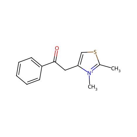 Cc1scc(CC(=O)c2ccccc2)[n+]1C